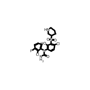 NC(=O)N(c1ccc(Cl)c(S(=O)(=O)C2CCCNC2)c1O)c1cccc(F)c1Cl